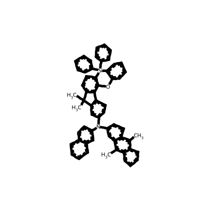 Cc1c2ccccc2c(C)c2cc(N(c3ccc4c(c3)C(C)(C)c3ccc5c(c3-4)Oc3ccccc3[Si]5(c3ccccc3)c3ccccc3)c3ccc4ccccc4c3)ccc12